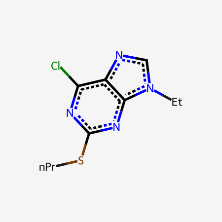 CCCSc1nc(Cl)c2ncn(CC)c2n1